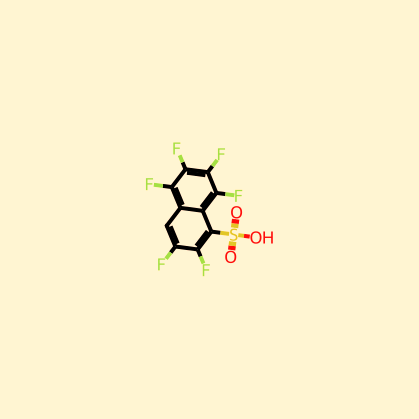 O=S(=O)(O)c1c(F)c(F)cc2c(F)c(F)c(F)c(F)c12